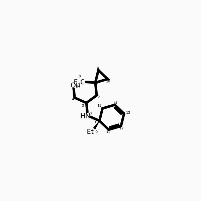 CC[C@]1(NC(CO)CC2(C(F)(F)F)CC2)C=CC=CC1